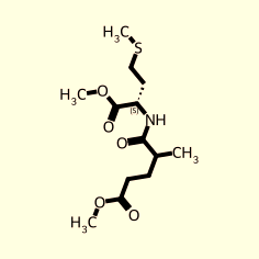 COC(=O)CCC(C)C(=O)N[C@@H](CCSC)C(=O)OC